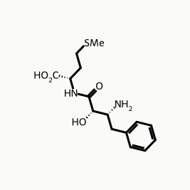 CSCC[C@H](NC(=O)[C@@H](O)[C@H](N)Cc1ccccc1)C(=O)O